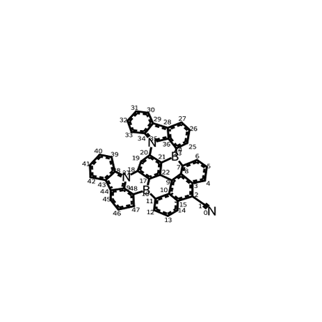 N#Cc1c2cccc3c2c2c4c(cccc14)B1c4c(cc5c(c4-2)B3c2cccc3c4ccccc4n-5c23)-n2c3ccccc3c3cccc1c32